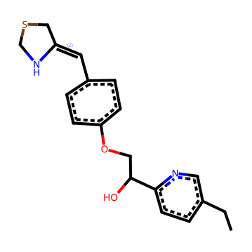 CCc1ccc(C(O)COc2ccc(/C=C3/CSCN3)cc2)nc1